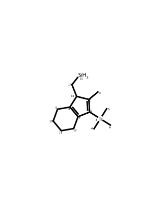 CC1=[C]([Ti]([CH3])([CH3])[CH3])C2=C(CCCC2)C1C[SiH3]